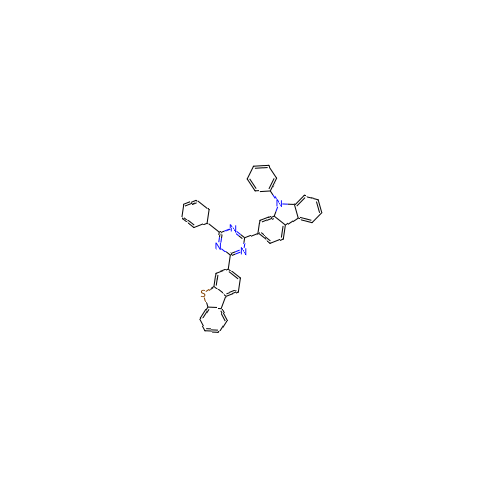 C1=CCC(c2nc(-c3ccc4c(c3)sc3ccccc34)nc(-c3ccc4c5ccccc5n(-c5ccccc5)c4c3)n2)C=C1